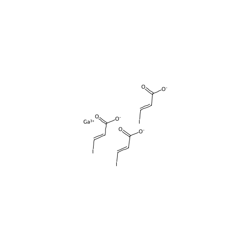 O=C([O-])C=CI.O=C([O-])C=CI.O=C([O-])C=CI.[Ga+3]